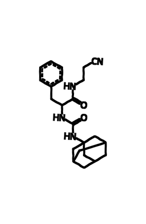 N#CCCNC(=O)C(Cc1ccccc1)NC(=O)NC12CC3CC(CC(C3)C1)C2